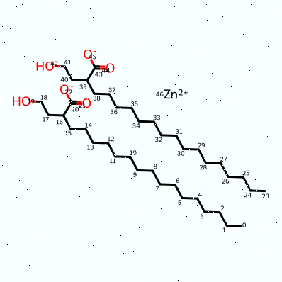 CCCCCCCCCCCCCCCCC(CCO)C(=O)[O-].CCCCCCCCCCCCCCCCC(CCO)C(=O)[O-].[Zn+2]